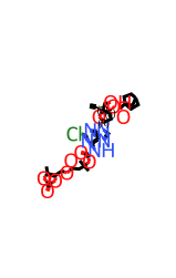 C#C[C@]1(CO)O[C@@H](n2cnc3c(NC(=O)OC(C)(C)CC(=O)OCc4oc(=O)oc4C)nc(Cl)nc32)C[C@@H]1OC(=O)C12CCC(CC1)C2